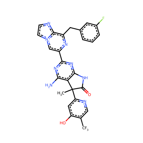 CC1(c2cc(O)c(C(F)(F)F)cn2)C(=O)Nc2nc(-c3cn4ccnc4c(Cc4cccc(F)c4)n3)nc(N)c21